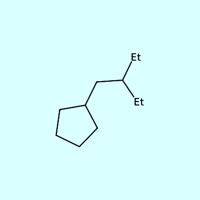 CCC(CC)CC1CCCC1